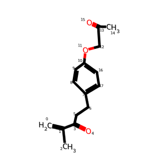 C=C(C)C(=O)CCc1ccc(OCC(C)=O)cc1